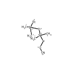 CC[Si](C)(C)O[Si](C)(C)COC#N